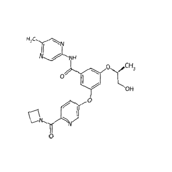 Cc1cnc(NC(=O)c2cc(Oc3ccc(C(=O)N4CCC4)nc3)cc(O[C@@H](C)CO)c2)cn1